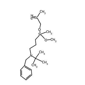 CO[Si](C)(CCCN(Cc1ccccc1)C(C)(C)C)OC[SiH](C)C